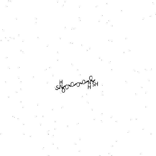 CSCNC(=O)COCCOCCOCCOCCNC(=O)C(C)S